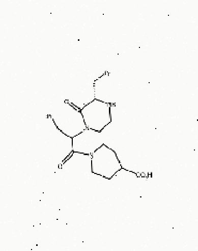 CC(C)CC(C(=O)N1CCC(C(=O)O)CC1)N1CCN[C@@H](CC(C)C)C1=O